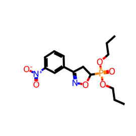 CCCOP(=O)(OCCC)C1CC(c2cccc([N+](=O)[O-])c2)=NO1